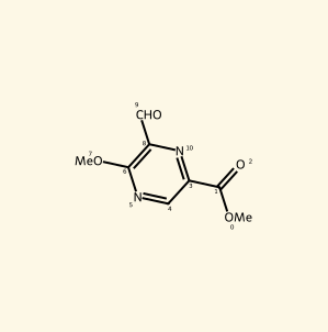 COC(=O)c1cnc(OC)c(C=O)n1